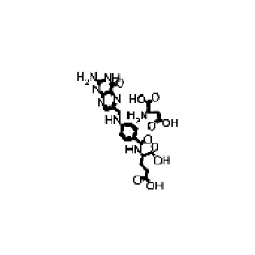 NC(CC(=O)O)C(=O)O.Nc1nc2ncc(CNc3ccc(C(=O)NC(CCC(=O)O)C(=O)O)cc3)nc2c(=O)[nH]1